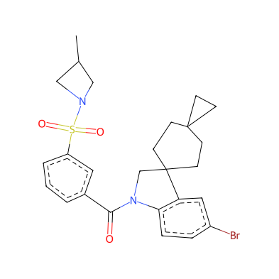 CC1CN(S(=O)(=O)c2cccc(C(=O)N3CC4(CCC5(CC5)CC4)c4cc(Br)ccc43)c2)C1